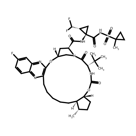 C[C@H]1CC[C@H]2OC(=O)N[C@@H](C(C)(C)C)C(=O)N3C[C@@H](C[C@H]3C(=O)N[C@]3(C(=O)NS(=O)(=O)C4(C)CC4)C[C@H]3C(F)F)Oc3nc4cc(F)ccc4nc3CCCCC[C@H]12